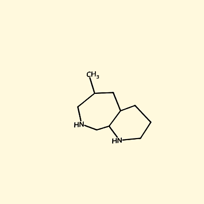 CC1CNCC2NCCCC2C1